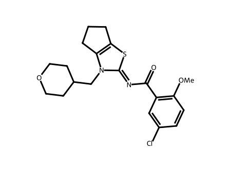 COc1ccc(Cl)cc1C(=O)/N=c1\sc2c(n1CC1CCOCC1)CCC2